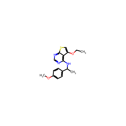 CCOc1csc2ncnc(NC(C)c3ccc(OC)cc3)c12